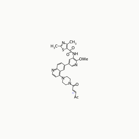 COc1ncc(-c2ccc3nccc(N4CCN(C(=O)/C=C/C(C)=O)CC4)c3c2)cc1NS(=O)(=O)c1sc(C)nc1C